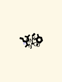 C=C/C=C(\C=C(C)C)C(C)N(C)C(=C=O)NN(C=C)c1ccccc1C